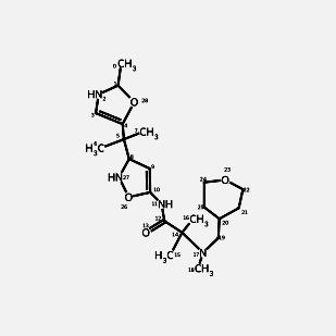 CC1NC=C(C(C)(C)C2C=C(NC(=O)C(C)(C)N(C)CC3CCOCC3)ON2)O1